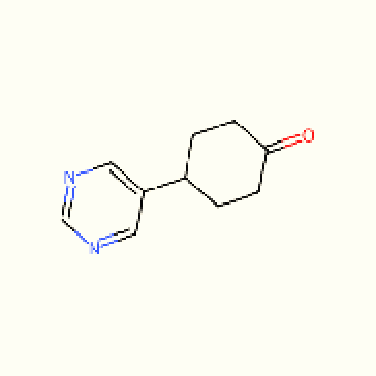 O=C1CCC(c2cncnc2)CC1